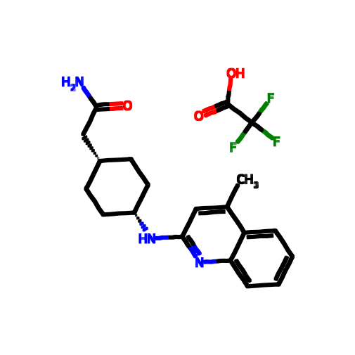 Cc1cc(N[C@H]2CC[C@@H](CC(N)=O)CC2)nc2ccccc12.O=C(O)C(F)(F)F